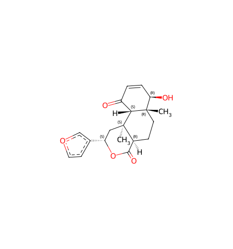 C[C@@]12C[C@@H](c3ccoc3)OC(=O)[C@@H]1CC[C@]1(C)[C@H]2C(=O)C=C[C@H]1O